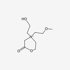 COCC[N+]1(CCO)CCOC(=O)C1